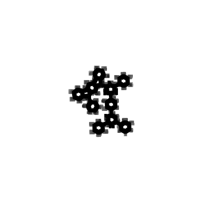 c1ccc(-c2cc(-c3ccc(-c4nc(-c5ccccc5)nc(-n5c6ccccc6c6cc7c8ccccc8n(-c8ccccc8)c7cc65)n4)cc3)nc(-c3ccccc3)n2)cc1